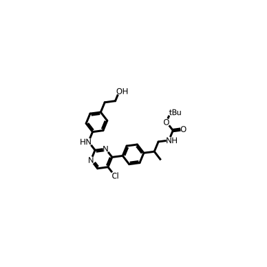 CC(CNC(=O)OC(C)(C)C)c1ccc(-c2nc(Nc3ccc(CCO)cc3)ncc2Cl)cc1